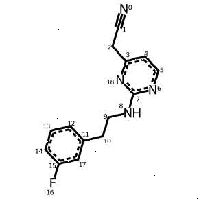 N#CCc1ccnc(NCCc2cccc(F)c2)n1